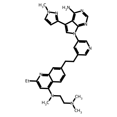 CCc1cc(N(C)CCN(C)C)c2ccc(CCc3cncc(-n4cc(-c5ccn(C)n5)c5c(N)ncnc54)c3)cc2n1